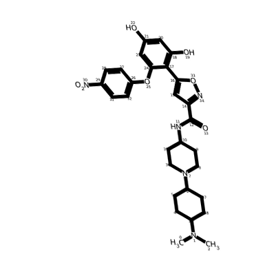 CN(C)C1CCC(N2CCC(NC(=O)c3cc(-c4c(O)cc(O)cc4Oc4ccc([N+](=O)[O-])cc4)on3)CC2)CC1